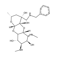 CN[C@@H]1[C@H](O)[C@H](NC)[C@H]2O[C@]3(O)[C@H](OC2[C@H]1O)O[C@H](C)C[C@@]3(O)CNCc1ccccc1